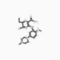 CCc1nc(C(N)=O)c(Nc2cc(N3CCN(C)CC3)ccc2OC)nc1Cl